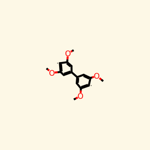 COc1[c]c(OC)cc(-c2cc(OC)[c]c(OC)c2)c1